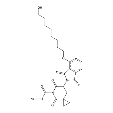 CC(C)(C)OC(=O)N1C(=O)C(N2C(=O)c3cccc(OCCCCCCCCO)c3C2=O)CC2(CC2)C1=O